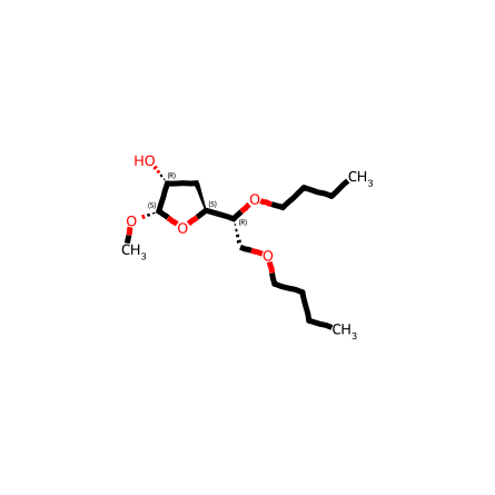 CCCCOC[C@@H](OCCCC)[C@@H]1C[C@@H](O)[C@@H](OC)O1